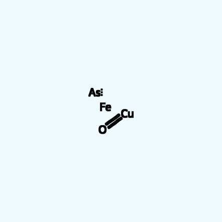 [As].[Fe].[O]=[Cu]